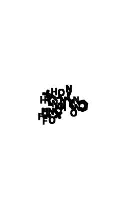 CC(C)(C)C(NC(=O)C(F)(F)F)C(=O)N1C[C@H]2[C@@H]([C@H]1C(=O)NC(C#N)c1cc(=O)n3ccccc3n1)C2(C)C